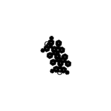 CC(C)(C)c1ccc2c(c1)Oc1cc(C(C)(C)C)ccc1N2c1cc2c3c(c1)N(c1ccccc1)c1cc4c(cc1B3c1ccccc1N2c1ccccc1)B1c2ccccc2N(c2ccccc2)c2cc(N3c5ccc(C(C)(C)C)cc5Oc5cc(C(C)(C)C)ccc53)cc(c21)N4c1ccccc1